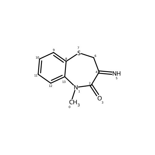 CN1C(=O)C(=N)CSc2ccccc21